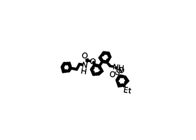 CCc1ccc(S(=O)(=O)NCc2ccccc2-c2ccccc2OC(=O)NCCc2ccccc2)cc1